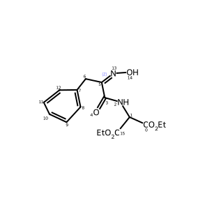 CCOC(=O)C(NC(=O)/C(Cc1ccccc1)=N\O)C(=O)OCC